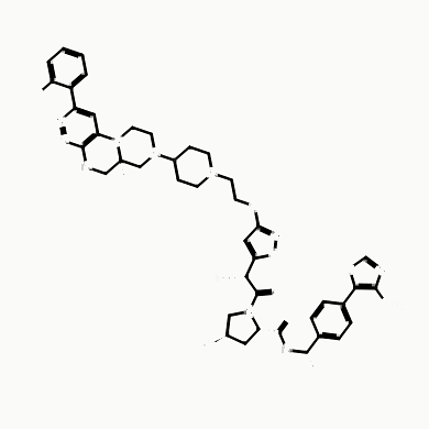 Cc1ncsc1-c1ccc([C@H](C)NC(=O)[C@@H]2C[C@@H](O)CN2C(=O)[C@@H](c2cc(OCCN3CCC(N4CCN5c6cc(-c7ccccc7O)nnc6NC[C@@H]5C4)CC3)no2)C(C)C)cc1